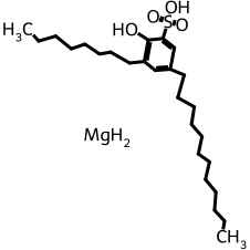 CCCCCCCCCCCCc1cc(CCCCCCCC)c(O)c(S(=O)(=O)O)c1.[MgH2]